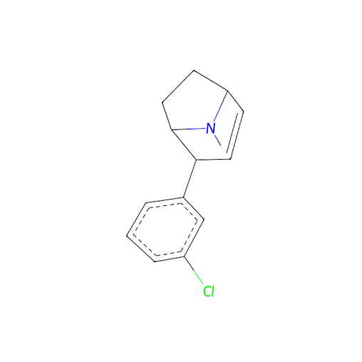 CN1C2C=CC(c3cccc(Cl)c3)C1CC2